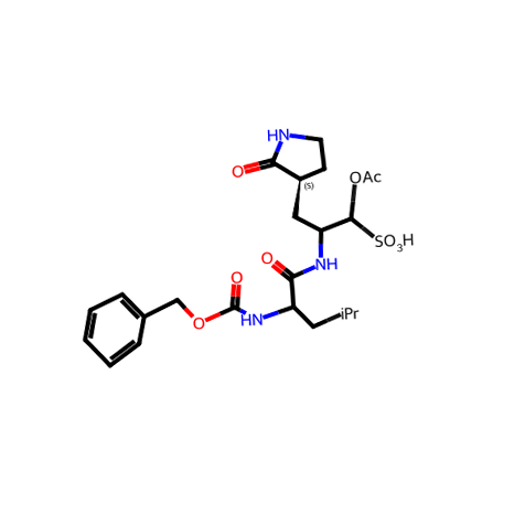 CC(=O)OC(C(C[C@@H]1CCNC1=O)NC(=O)C(CC(C)C)NC(=O)OCc1ccccc1)S(=O)(=O)O